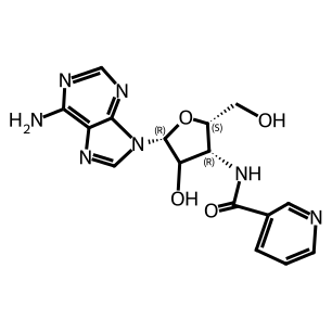 Nc1ncnc2c1ncn2[C@@H]1O[C@H](CO)[C@H](NC(=O)c2cccnc2)C1O